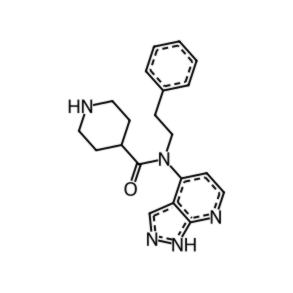 O=C(C1CCNCC1)N(CCc1ccccc1)c1ccnc2[nH]ncc12